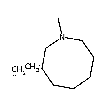 CN1CCCCCCC1.[CH2].[CH2]